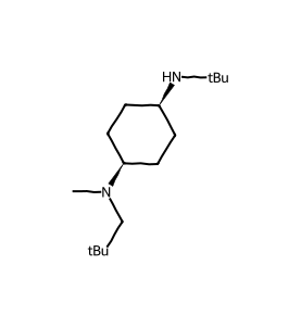 CN(CC(C)(C)C)[C@H]1CC[C@@H](NC(C)(C)C)CC1